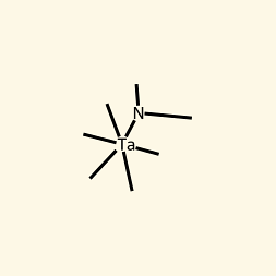 C[N](C)[Ta]([CH3])([CH3])([CH3])([CH3])[CH3]